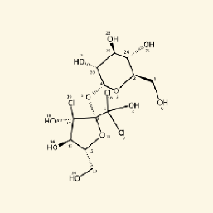 OC[C@H]1O[C@H](O[C@]2(C(O)(Cl)Cl)O[C@H](CO)[C@@H](O)[C@@]2(O)Cl)[C@H](O)[C@@H](O)[C@@H]1O